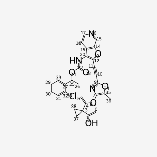 C=C(O)C1(C(=C)Oc2nc(C#Cc3oc4cnccc4c3NC(=O)OC(C)c3ccccc3Cl)oc2C)CC1